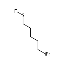 CC(C)CCCCCSF